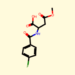 COC(=O)CC(NC(=O)c1ccc(F)cc1)C(=O)O